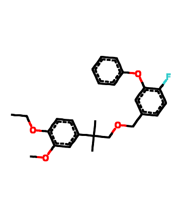 CCOc1ccc(C(C)(C)COCc2ccc(F)c(Oc3ccccc3)c2)cc1OC